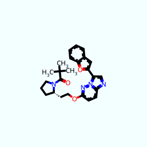 CC(C)(C)C(=O)N1CCC[C@H]1CCOc1ccc2ncc(-c3cc4ccccc4o3)n2n1